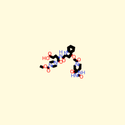 CCOC(=O)N1CCN(C(=O)C(CCC(=O)O)NC(=O)c2cc(OCC(=O)N3CCC4(CC3)NC(=O)NC4=O)c3ccccc3n2)CC1